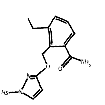 CCc1cccc(C(N)=O)c1COc1ccn(S)n1